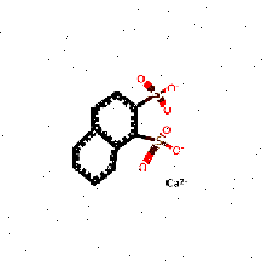 O=S(=O)([O-])c1ccc2ccccc2c1S(=O)(=O)[O-].[Ca+2]